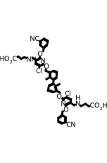 Cc1c(COc2nc(OCc3cccc(C#N)c3)c(CNCCCC(=O)O)cc2Cl)cccc1-c1cccc(COc2nc(OCc3cccc(C#N)c3)c(CNCCCC(=O)O)cc2Cl)c1C